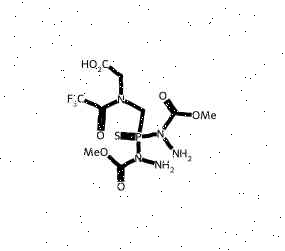 COC(=O)N(N)P(=S)(CN(CC(=O)O)C(=O)C(F)(F)F)N(N)C(=O)OC